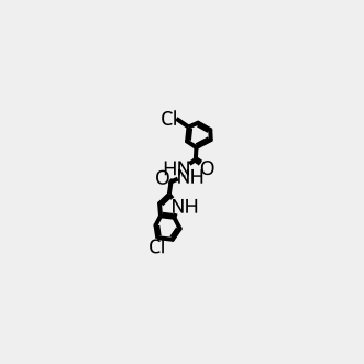 O=C(NNC(=O)c1cc2cc(Cl)ccc2[nH]1)c1cccc(Cl)c1